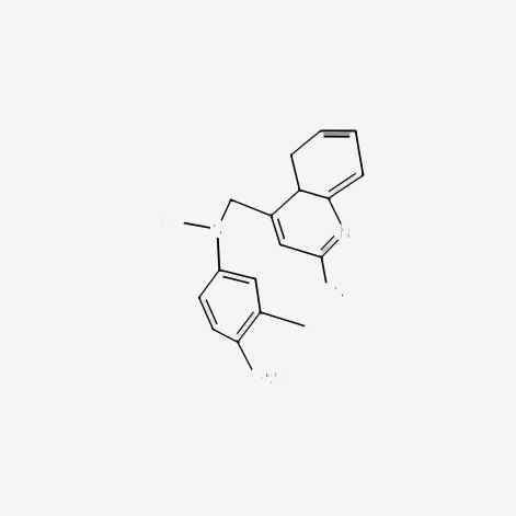 COc1ccc(N(C)CC2=CC(C#N)=NC3=CC=CCC23)cc1I